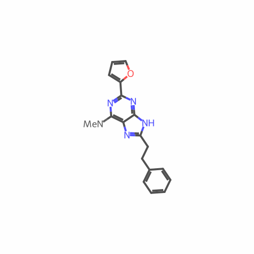 CNc1nc(-c2ccco2)nc2[nH]c(CCc3ccccc3)nc12